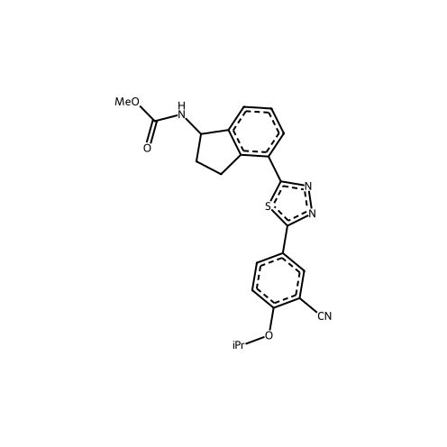 COC(=O)NC1CCc2c(-c3nnc(-c4ccc(OC(C)C)c(C#N)c4)s3)cccc21